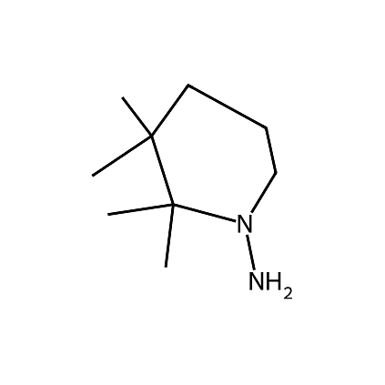 CC1(C)CCCN(N)C1(C)C